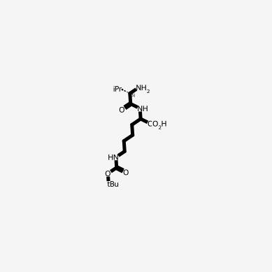 CC(C)[C@H](N)C(=O)NC(CCCCNC(=O)OC(C)(C)C)C(=O)O